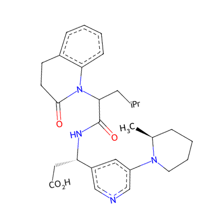 CC(C)CC(C(=O)N[C@@H](CC(=O)O)c1cncc(N2CCCC[C@@H]2C)c1)N1C(=O)CCc2ccccc21